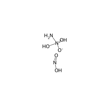 N[N+]([O-])(O)O.O=NO